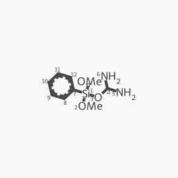 CO[Si](OC)(OC(N)N)c1ccccc1